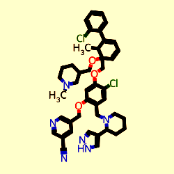 CC1C(c2ccccc2Cl)=CC=CC1(COc1cc(OCc2cncc(C#N)c2)c(CN2CCCCC2c2cn[nH]c2)cc1Cl)OCC1CCCN(C)C1